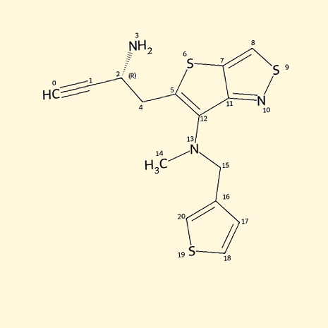 C#C[C@H](N)Cc1sc2csnc2c1N(C)Cc1ccsc1